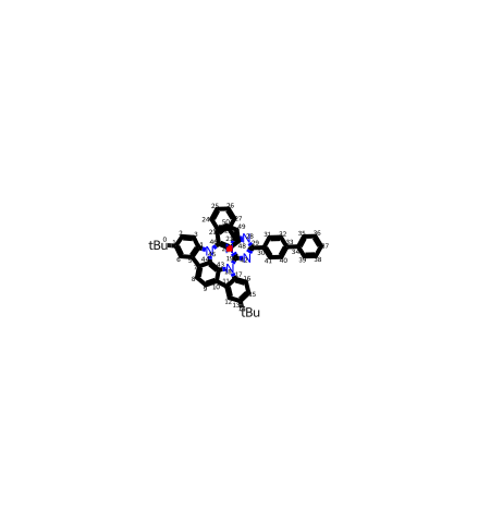 CC(C)(C)c1ccc2c(c1)c1ccc3c4cc(C(C)(C)C)ccc4n(-c4nc(-c5ccccc5)nc(-c5ccc(-c6ccccc6)cc5)n4)c3c1n2-c1ccccc1